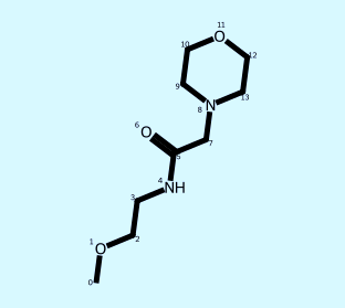 COCCNC(=O)CN1CCOCC1